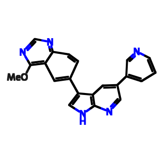 COc1ncnc2ccc(-c3c[nH]c4ncc(-c5cccnc5)cc34)cc12